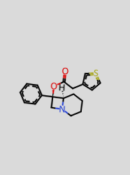 O=C(Cc1ccsc1)O[C@]1(c2ccccc2)CN2CCCC[C@@H]21